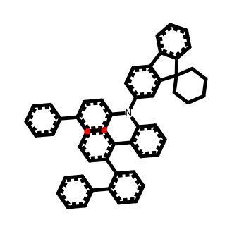 c1ccc(-c2ccc(N(c3ccc4c(c3)C3(CCCCC3)c3ccccc3-4)c3ccccc3-c3ccccc3-c3ccccc3-c3ccccc3)cc2)cc1